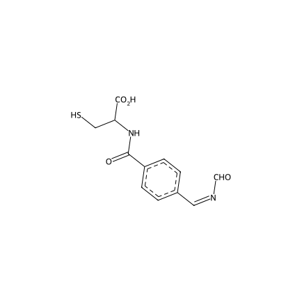 O=C/N=C\c1ccc(C(=O)NC(CS)C(=O)O)cc1